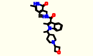 CCc1cc(C)[nH]c(=O)c1CNC(=O)c1c(C)n(C(C)C2CCN(C3COC3)CC2)c2ccccc12